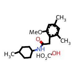 COc1cc(C)cc(C)c1CC(=O)NC1CCC(C)CC1.O=C(O)O